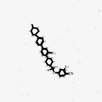 CC1CCC(c2ccc(-c3ccc(C4CCC(C(F)(F)Oc5ccc(C#N)c(F)c5)CC4)c(F)c3)cc2)CC1